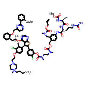 C=CCOC(=O)N(C)Cc1cc(NC(=O)[C@H](CCCNC(N)=O)NC(=O)[C@@H](NC(=O)OC(C)(C)C)C(C)C)ccc1COC(=O)N(C)CCN(C)C(=O)Oc1cc(-c2sc3ncnc(O[C@H](Cc4ccccc4OCc4ccnc(-c5ccccc5OC)n4)C(=O)O)c3c2-c2ccc(OCCN3CC[N+](C)(CCCS(=O)(=O)O)CC3)c(Cl)c2C)ccc1F